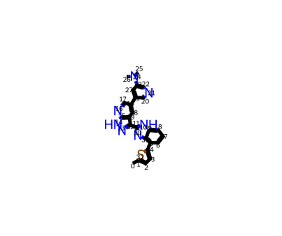 Cc1ccc(-c2cccc3[nH]c(-c4n[nH]c5ncc(-c6cncc(N(C)C)c6)cc45)nc23)s1